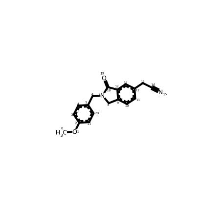 COc1ccc(CN2Cc3ccc(CC#N)cc3C2=O)cc1